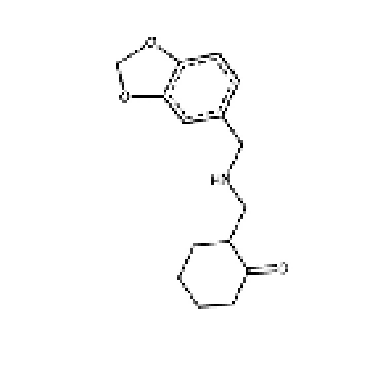 O=C1CCCCC1CNCc1ccc2c(c1)OCO2